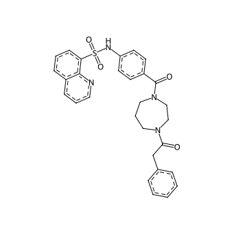 O=C(Cc1ccccc1)N1CCCN(C(=O)c2ccc(NS(=O)(=O)c3cccc4cccnc34)cc2)CC1